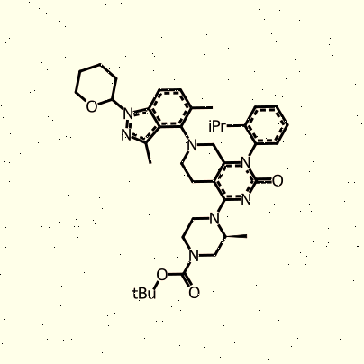 Cc1ccc2c(c(C)nn2C2CCCCO2)c1N1CCc2c(N3CCN(C(=O)OC(C)(C)C)C[C@@H]3C)nc(=O)n(-c3ccccc3C(C)C)c2C1